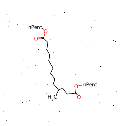 CCCCCOC(=O)CCCCCCCCC(C)CCC(=O)OCCCCC